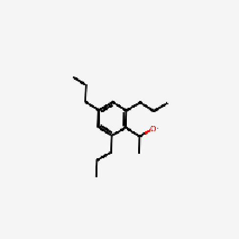 CCCc1cc(CCC)c(C(C)[O])c(CCC)c1